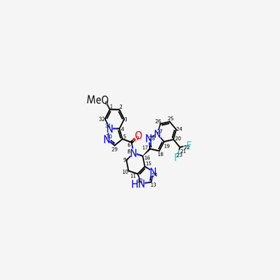 COc1ccc2c(C(=O)N3CCc4[nH]cnc4[C@@H]3c3cc4c(C(F)F)cccn4n3)cnn2c1